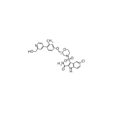 Cc1cc(OC[C@@H]2CN(S(=O)(=O)c3c(C(N)=O)[nH]c4ccc(Cl)cc34)CCO2)ccc1-c1ccnc(CO)c1